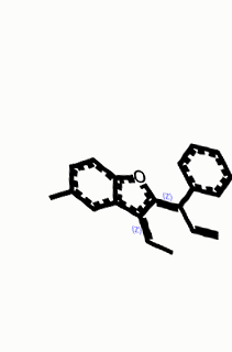 C=C/C(c1ccccc1)=c1/oc2ccc(C)cc2/c1=C/C